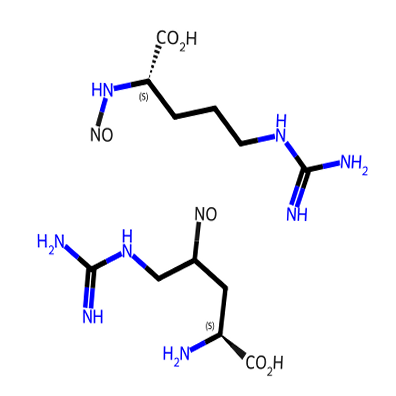 N=C(N)NCC(C[C@H](N)C(=O)O)N=O.N=C(N)NCCC[C@H](NN=O)C(=O)O